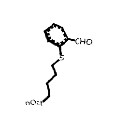 CCCCCCCCCCCCSc1ccccc1C=O